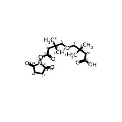 CC(C)(COCC(C)(C)CC(=O)ON1C(=O)CCC1=O)CC(=O)O